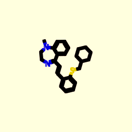 CN1CCN=C(C=Cc2ccccc2SCC2CCCCC2)c2ccccc21